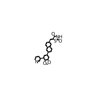 O=C1NC(=O)C(=Cc2ccc3cc(-c4cc5c(c(-c6cccnc6)c4)OCO5)ccc3c2)S1